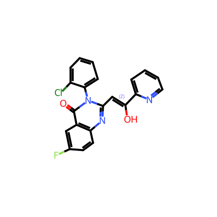 O=c1c2cc(F)ccc2nc(/C=C(\O)c2ccccn2)n1-c1ccccc1Cl